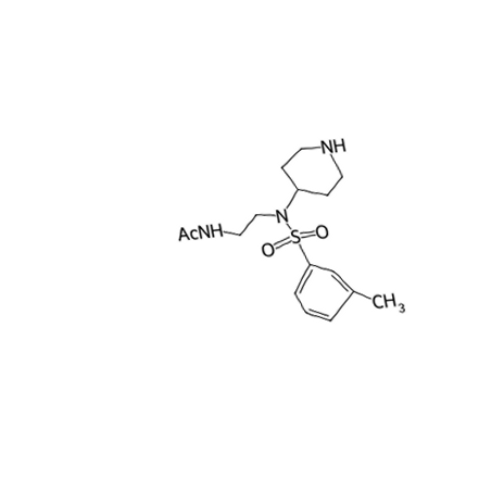 CC(=O)NCCN(C1CCNCC1)S(=O)(=O)c1cccc(C)c1